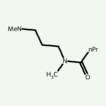 CCCC(=O)N(C)CCCNC